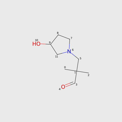 CC(C)(C=O)CN1CCC(O)C1